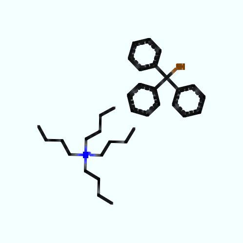 CCCC[N+](CCCC)(CCCC)CCCC.SC(c1ccccc1)(c1ccccc1)c1ccccc1